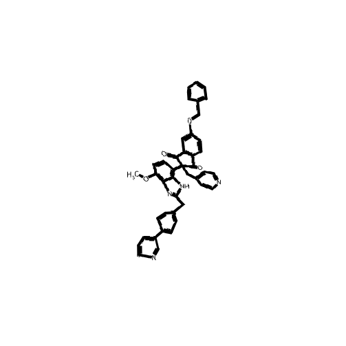 COc1ccc(C2(Cc3ccncc3)C(=O)c3ccc(OCc4ccccc4)cc3C2=O)c2[nH]c(Cc3ccc(-c4cccnc4)cc3)nc12